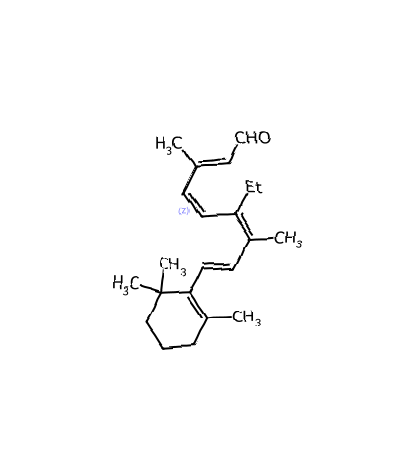 CCC(/C=C\C(C)=CC=O)=C(C)C=CC1=C(C)CCCC1(C)C